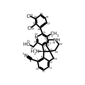 Cc1nc([C@@]2(N)c3c(C#N)cccc3CC23CCNCC3)c(CO)nc1-c1cccc(Cl)c1Cl